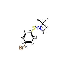 CC1(C)CCN1Sc1ccc(Br)cc1